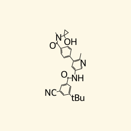 Cc1ncc(NC(=O)c2cc(C#N)cc(C(C)(C)C)c2)cc1-c1ccc(C(=O)N(C)C2(O)CC2)cc1